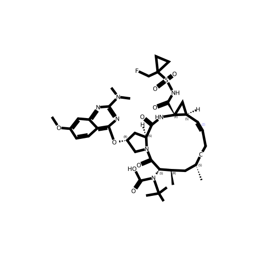 COc1ccc2c(O[C@@H]3C[C@H]4C(=O)N[C@]5(C(=O)NS(=O)(=O)C6(CF)CC6)C[C@H]5/C=C\CC[C@H](C)C[C@@H](C)[C@H](N(C(=O)O)C(C)(C)C)C(=O)N4C3)nc(N(C)C)nc2c1